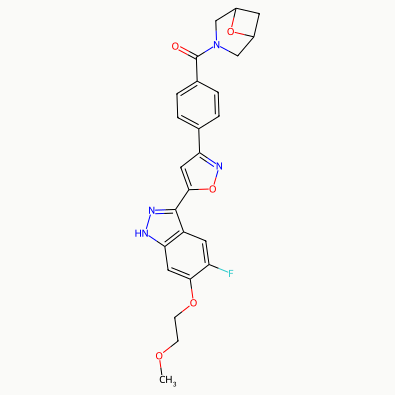 COCCOc1cc2[nH]nc(-c3cc(-c4ccc(C(=O)N5CC6CC(C5)O6)cc4)no3)c2cc1F